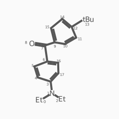 CCN(CC)c1ccc(C(=O)c2ccc(C(C)(C)C)cc2)cc1